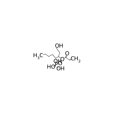 C=CC(=O)OC(CCO)CCCCC.O=P(O)(O)O